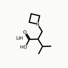 CC(C)C(CN1CCC1)C(=O)O.[LiH]